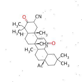 CC(=O)[C@]12CCC(C)(C)CC1C1C(=O)C=C3[C@@]4(C)CC(C#N)C(=O)C(C)(C)[C@@H]4CC[C@@]3(C)[C@]1(C)CC2